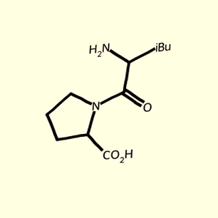 CCC(C)C(N)C(=O)N1CCCC1C(=O)O